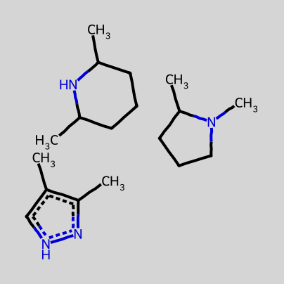 CC1CCCC(C)N1.CC1CCCN1C.Cc1c[nH]nc1C